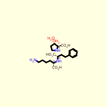 NCCCC[C@H](N[C@@H](CCc1ccccc1)C(=O)O)C(=O)O.O.O.O=C(O)[C@@H]1CCCN1